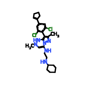 Cc1nn2c(c1-c1c(Cl)cc(C3=CCCC3)cc1Cl)NN(C)C=C2NCCNC1CCCCC1